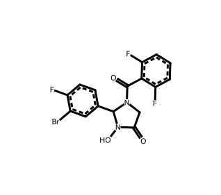 O=C1CN(C(=O)c2c(F)cccc2F)C(c2ccc(F)c(Br)c2)N1O